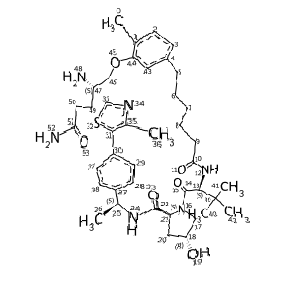 Cc1ccc(CCCCCC(=O)N[C@H](C(=O)N2C[C@H](O)C[C@H]2C(=O)N[C@@H](C)c2ccc(-c3scnc3C)cc2)C(C)(C)C)cc1OC[C@@H](N)CCC(N)=O